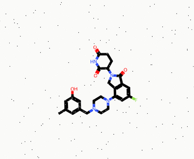 Cc1cc(O)cc(CN2CCN(c3cc(F)cc4c3CN(C3CCC(=O)NC3=O)C4=O)CC2)c1